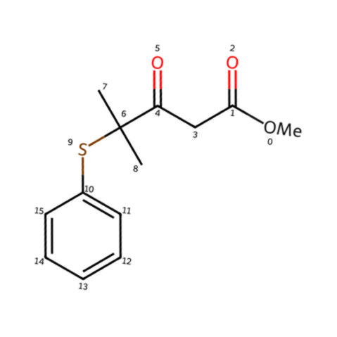 COC(=O)CC(=O)C(C)(C)Sc1ccccc1